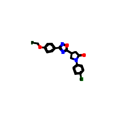 O=C1CC(c2nc(-c3ccc(OCF)cc3)no2)CN1c1ccc(Cl)cc1